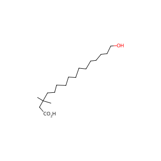 CC(C)(CCCCCCCCCCCCCO)CC(=O)O